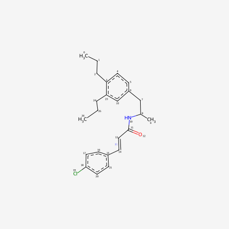 CCCc1ccc(CC(C)NC(=O)/C=C/c2ccc(Cl)cc2)cc1CCC